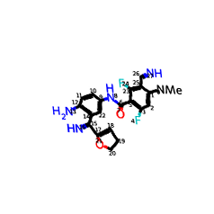 CNc1cc(F)c(C(=O)Nc2ccc(N)c(C(=N)C3=CCCO3)c2)c(F)c1C=N